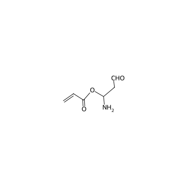 C=CC(=O)OC(N)CC=O